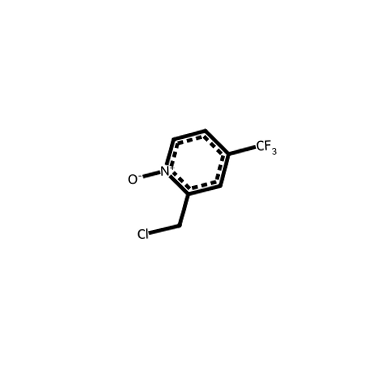 [O-][n+]1ccc(C(F)(F)F)cc1CCl